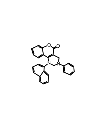 O=c1oc2ccccc2c2c1CN(c1ccccc1)CN2c1cccc2ccccc12